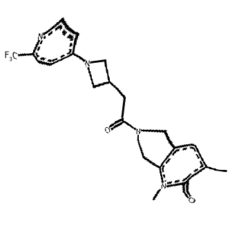 Cc1cc2c(n(C)c1=O)CN(C(=O)CC1CN(c3ccnc(C(F)(F)F)c3)C1)C2